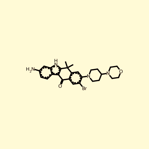 CC1(C)c2cc(N3CCC(N4CCOCC4)CC3)c(Br)cc2C(=O)c2c1[nH]c1cc(N)ccc21